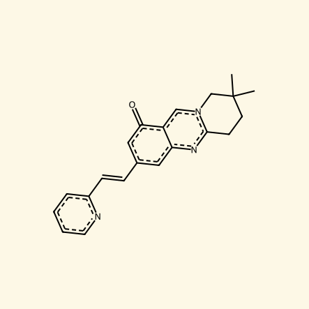 CC1(C)CCc2nc3cc(/C=C/c4ccccn4)cc(=O)c-3cn2C1